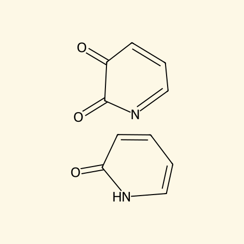 O=C1C=CC=NC1=O.O=c1cccc[nH]1